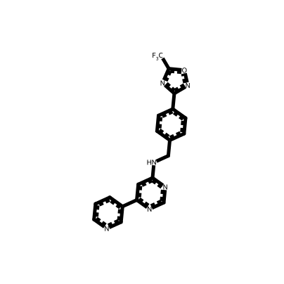 FC(F)(F)c1nc(-c2ccc(CNc3cc(-c4cccnc4)ncn3)cc2)no1